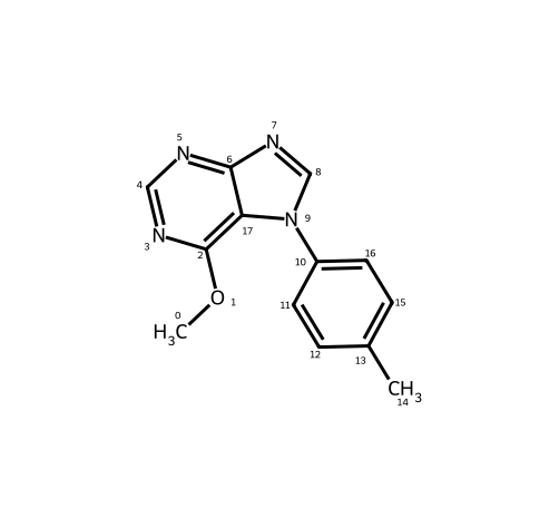 COc1ncnc2ncn(-c3ccc(C)cc3)c12